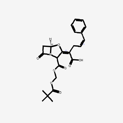 CC(C)(C)C(=O)OCOC(=O)C1/C(=C(/C/C=C\c2ccccc2)C(=O)O)O[C@@H]2CC(=O)N12